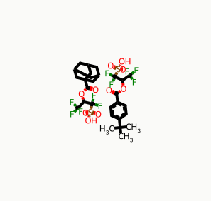 CC(C)(C)c1ccc(C(=O)OC(C(F)(F)F)C(F)(F)S(=O)(=O)O)cc1.O=C(OC(C(F)(F)F)C(F)(F)S(=O)(=O)O)C12CC3CC(CC(C3)C1)C2